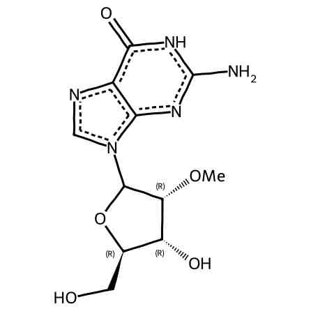 CO[C@H]1C(n2cnc3c(=O)[nH]c(N)nc32)O[C@H](CO)[C@H]1O